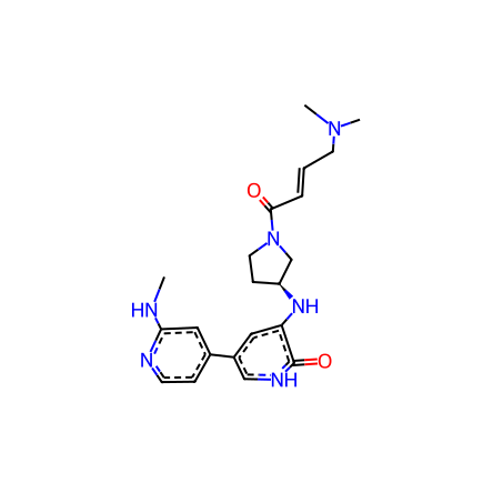 CNc1cc(-c2c[nH]c(=O)c(N[C@H]3CCN(C(=O)/C=C/CN(C)C)C3)c2)ccn1